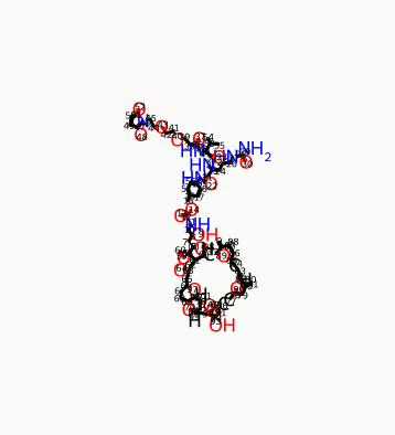 C=C1C2C[C@@H]3O[C@H](CC(O)CNC(=O)OCc4ccc(NC(=O)C(CCCNC(N)=O)NC(=O)[C@@H](NC(=O)CCOCCOCCN5C(=O)C=CC5=O)C(C)C)cc4)[C@H](OC)C3CC(=O)CC3CCC4O[C@@H]5CC(O[C@@]6(CCC7CC(=C)[C@H](CCC(C[C@H]1C)O2)O7)C[C@@H](O)C5O6)[C@H]4O3